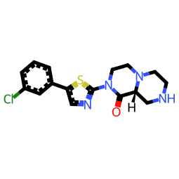 O=C1[C@H]2CNCCN2CCN1c1ncc(-c2cccc(Cl)c2)s1